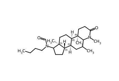 CCCCN(C=O)C1CC[C@H]2[C@@H]3CC(C)C4N(C)C(=O)CC[C@]4(C)[C@@H]3CC[C@]12C